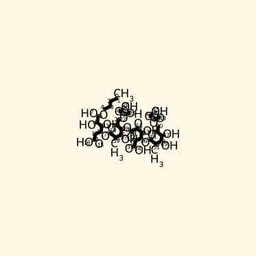 CCCCCOC(O)C(O)C(O)C(CC(=O)O)OC1OC(COS(=O)(=O)O)C(O[C@@H]2OC(C(=O)O)C(OC3OC(COS(=O)(=O)O)C(O)C(O)C3C)C(O)[C@@H]2O)C(O)C1C